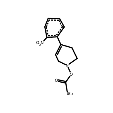 CC(C)(C)C(=O)ON1CC=C(c2ccccc2[N+](=O)[O-])CC1